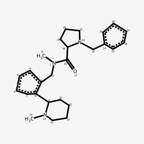 CN(Cc1ccccc1C1CCCCN1C)C(=O)C1CCCN1Cc1ccccc1